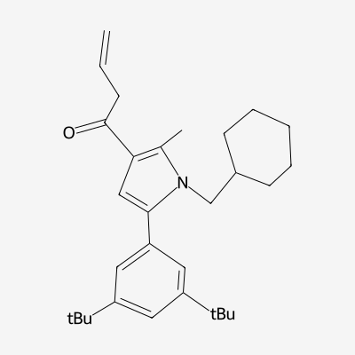 C=CCC(=O)c1cc(-c2cc(C(C)(C)C)cc(C(C)(C)C)c2)n(CC2CCCCC2)c1C